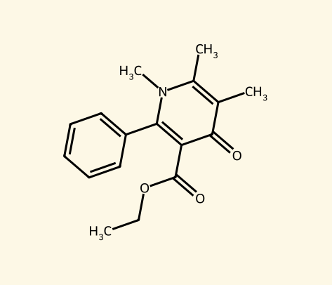 CCOC(=O)c1c(-c2ccccc2)n(C)c(C)c(C)c1=O